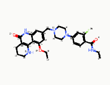 CCNC(=O)c1ccc(N2CCN(Cc3cc(OCC)c4c5c(c(=O)[nH]c4c3)CCCN5)CC2)cc1F